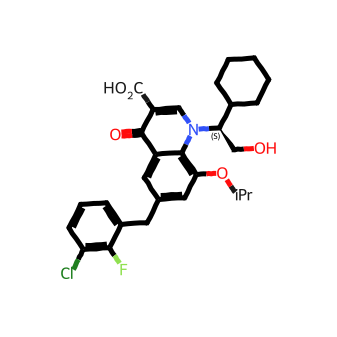 CC(C)Oc1cc(Cc2cccc(Cl)c2F)cc2c(=O)c(C(=O)O)cn([C@H](CO)C3CCCCC3)c12